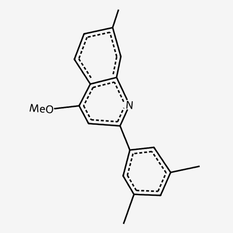 COc1cc(-c2cc(C)cc(C)c2)nc2cc(C)ccc12